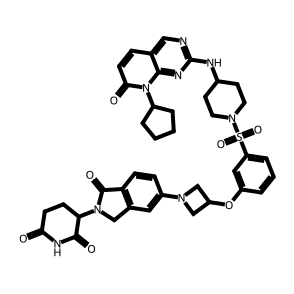 O=C1CCC(N2Cc3cc(N4CC(Oc5cccc(S(=O)(=O)N6CCC(Nc7ncc8ccc(=O)n(C9CCCC9)c8n7)CC6)c5)C4)ccc3C2=O)C(=O)N1